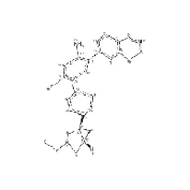 CCN1C[C@H]2C[C@@]2(c2ccc(-c3cc(-c4ccc5c(c4)CCN=C5)c(N)nc3F)cc2)C1